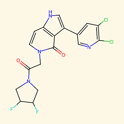 O=C(Cn1ccc2[nH]cc(-c3cnc(Cl)c(Cl)c3)c2c1=O)N1CC(F)C(F)C1